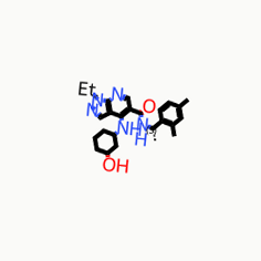 CCn1ncc2c(NC3CCCC(O)C3)c(C(=O)N[C@@H](C)c3ccc(C)cc3C)cnc21